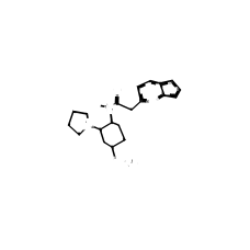 COC1CCC(N(C)C(=O)Cc2ccc3cccc-3o2)C(N2CCCC2)C1